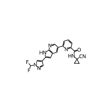 N#CC1(NC(=O)c2cccc(-c3cnc4[nH]c(-c5cnn(C(F)F)c5)cc4c3)n2)CC1